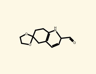 O=CC1C=CC2=C(CCC3(C2)OCCO3)N1